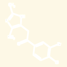 Cc1nc([N+](=O)[O-])c(CC(=O)c2ccc(Cl)c(Br)c2)[nH]1